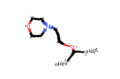 CCCCCCCC(CCCCCC)OCCN1CCOCC1